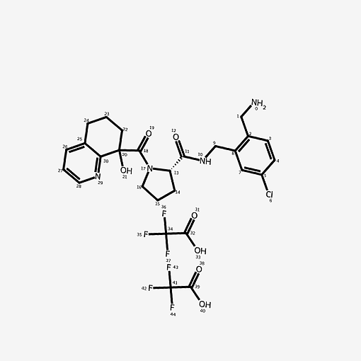 NCc1ccc(Cl)cc1CNC(=O)[C@@H]1CCCN1C(=O)C1(O)CCCc2cccnc21.O=C(O)C(F)(F)F.O=C(O)C(F)(F)F